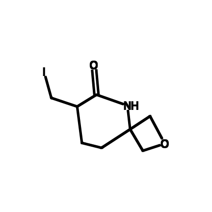 O=C1NC2(CCC1CI)COC2